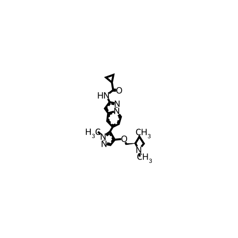 C[C@H]1CN(C)[C@H]1COc1cnn(C)c1-c1ccn2nc(NC(=O)C3CC3)cc2c1